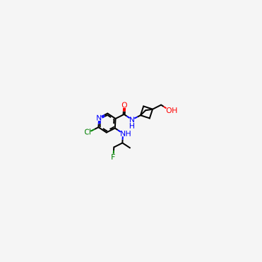 CC(CF)Nc1cc(Cl)ncc1C(=O)NC12CC(CO)(C1)C2